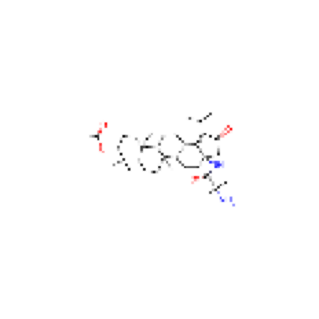 CC(=O)OC1CCC2(C)C(CCC3(C)C4CCC5(NC(=O)C(C)(C)N)CC(=O)C(C(C)C)=C5C4CCC32)C1(C)C